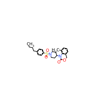 CCCCc1ccc(S(=O)(=O)N2CCC(N3C(=O)OCc4cccc(C)c43)CC2)cc1